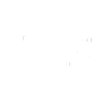 OP(O)(=S)Oc1cccc(OC(F)(F)F)c1